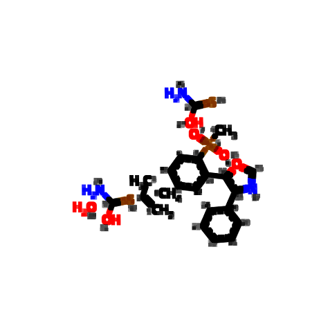 C.C=CC.CS(=O)(=O)c1ccccc1-c1ocnc1-c1ccccc1.NC(O)=S.NC(O)=S.O